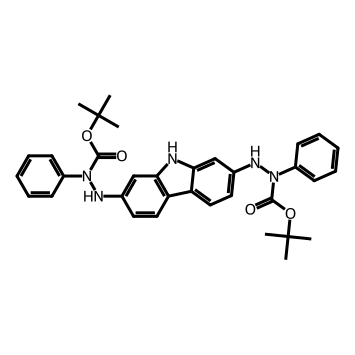 CC(C)(C)OC(=O)N(Nc1ccc2c(c1)[nH]c1cc(NN(C(=O)OC(C)(C)C)c3ccccc3)ccc12)c1ccccc1